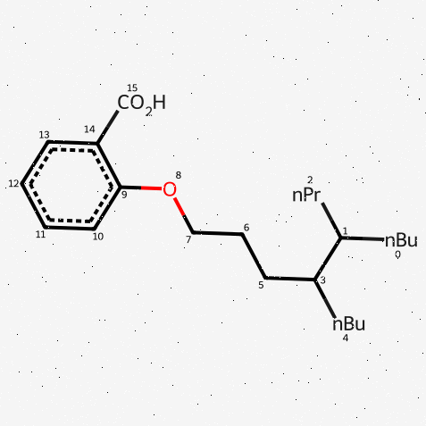 CCCCC(CCC)C(CCCC)CCCOc1ccccc1C(=O)O